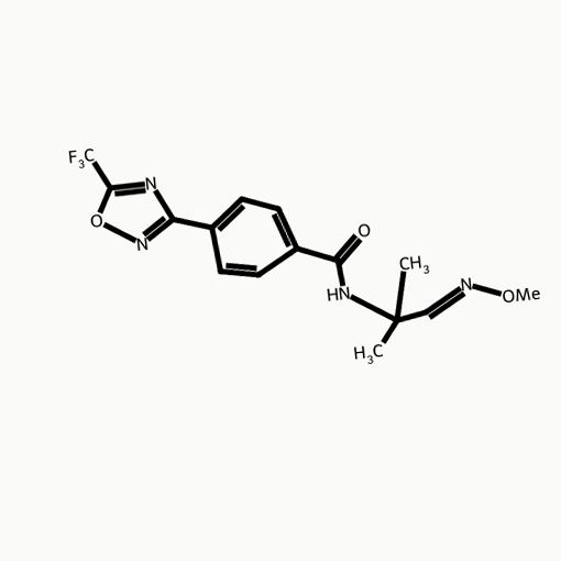 CON=CC(C)(C)NC(=O)c1ccc(-c2noc(C(F)(F)F)n2)cc1